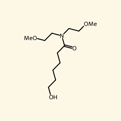 COCCN(CCOC)C(=O)CCCCCO